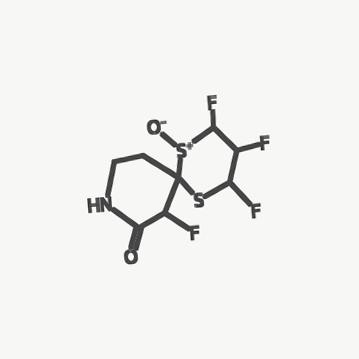 O=C1NCCC2(SC(F)C(F)C(F)[S+]2[O-])C1F